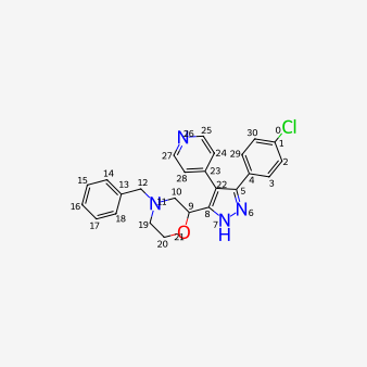 Clc1ccc(-c2n[nH]c(C3CN(Cc4ccccc4)CCO3)c2-c2ccncc2)cc1